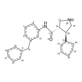 O=C(Nc1cccc(Cc2ccccc2)c1)[C@@H]1CNC[C@H]1c1ccccc1